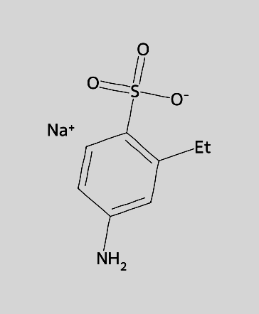 CCc1cc(N)ccc1S(=O)(=O)[O-].[Na+]